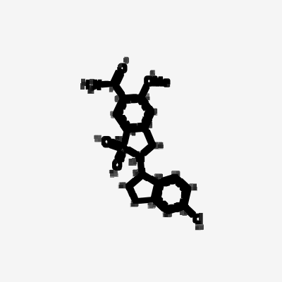 COc1cc2c(cc1C(N)=O)S(=O)(=O)N(C1CCc3cc(Cl)ccc31)C2